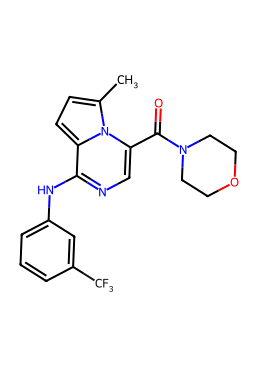 Cc1ccc2c(Nc3cccc(C(F)(F)F)c3)ncc(C(=O)N3CCOCC3)n12